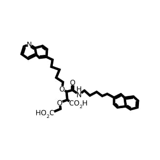 O=C(O)COC(C(=O)O)C(OCCCCCc1ccc2ncccc2c1)C(=O)NCCCCCc1ccc2ccccc2c1